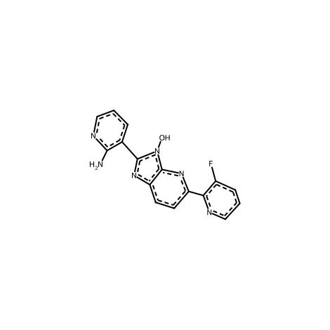 Nc1ncccc1-c1nc2ccc(-c3ncccc3F)nc2n1O